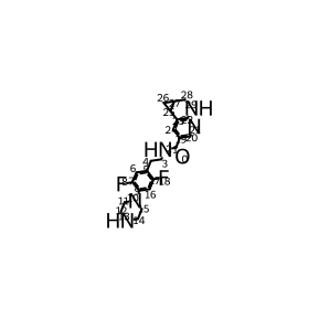 O=C(NCCc1cc(F)c(N2CCNCC2)cc1F)c1cnc2c(c1)C1CC1CN2